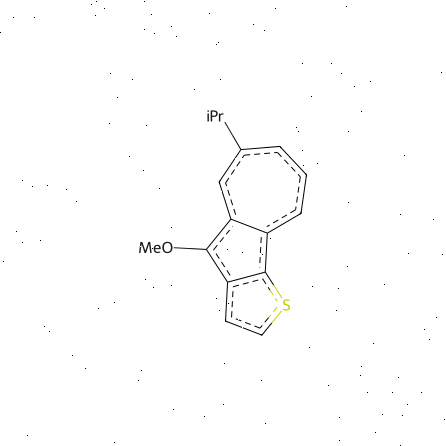 COc1c2cc(C(C)C)cccc-2c2sccc12